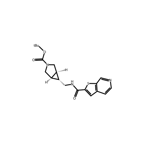 CC(C)(C)OC(=O)N1C[C@@H]2[C@@H](CNC(=O)c3cc4ccncc4s3)[C@@H]2C1